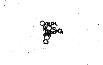 CCCCO[C@H]1[C@H](OP2(=O)OCc3ccccc3CO2)[C@@H]2OC3(CCCCC3)O[C@@H]2[C@@H](C)[C@@H]1OC(=O)n1ccnc1